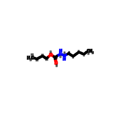 CCCCCNNC(=O)OCCCC